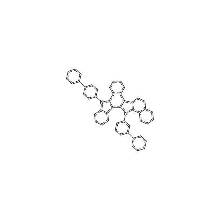 c1ccc(-c2ccc(-n3c4ccccc4c4c3c3ccccc3c3c5ccc6ccccc6c5n(-c5cccc(-c6ccccc6)c5)c34)cc2)cc1